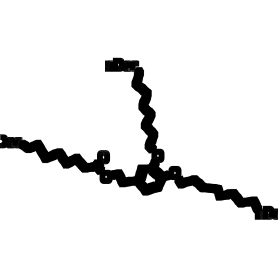 CCCCCCCCCCCCCCCCCCOc1ccc(CCOC(=O)CCCCCCCCCCCCCCCCC)cc1OCCCCCCCCCCCCCCCCCC